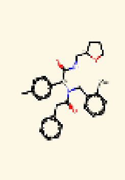 COc1ccccc1CN(C(=O)Cc1ccccc1)[C@@H](C(=O)NC[C@H]1CCCO1)c1ccc(C)cc1